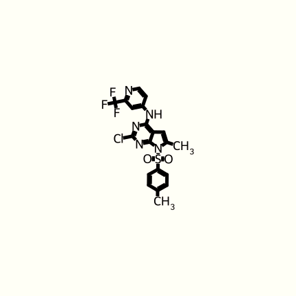 Cc1ccc(S(=O)(=O)n2c(C)cc3c(Nc4ccnc(C(F)(F)F)c4)nc(Cl)nc32)cc1